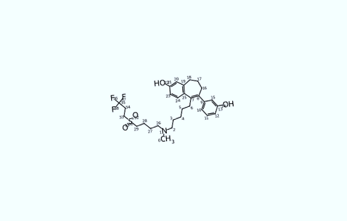 CN(CCCCCC1=C(c2cccc(O)c2)CCCc2cc(O)ccc21)CCCCS(=O)(=O)CCC(F)(F)F